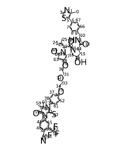 Cc1ncsc1-c1ccc(CNC(=O)C2C[C@@H](O)CN2C(=O)[C@H](C(C)C)N2CC(OCCOCCOc3ccc(N4C(=S)N(c5ccc(C#N)c(C(F)(F)F)c5)C(=O)C4(C)C)cc3)=CC2=O)cc1